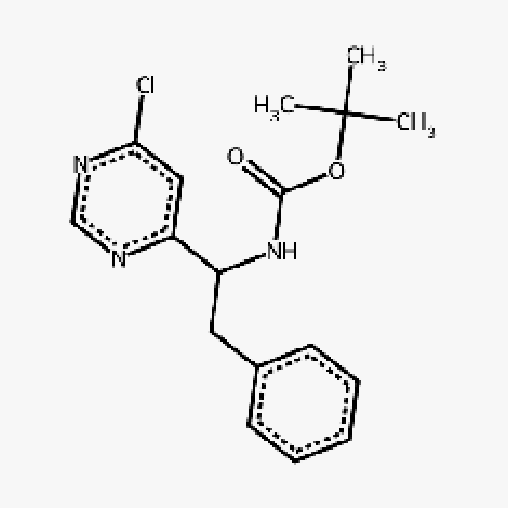 CC(C)(C)OC(=O)NC(Cc1ccccc1)c1cc(Cl)ncn1